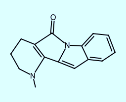 CN1CCCC2=C1c1cc3ccccc3n1C2=O